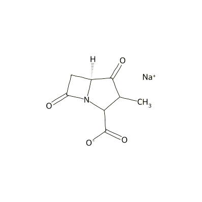 CC1C(=O)[C@@H]2CC(=O)N2C1C(=O)[O-].[Na+]